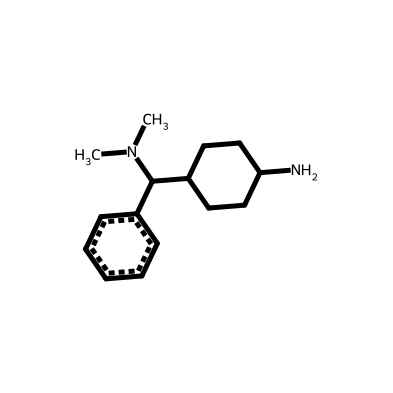 CN(C)C(c1ccccc1)C1CCC(N)CC1